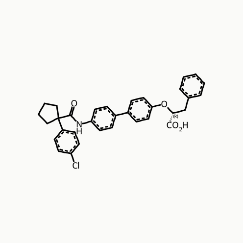 O=C(O)[C@@H](Cc1ccccc1)Oc1ccc(-c2ccc(NC(=O)C3(c4ccc(Cl)cc4)CCCC3)cc2)cc1